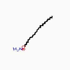 CCCCCCCCCCCCCCCCCCCCCCCCCCCCOC(N)=O